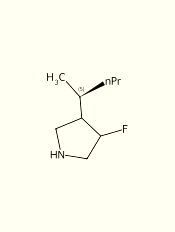 CCC[C@H](C)C1CNCC1F